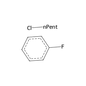 CCCCCCl.Fc1ccccc1